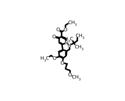 CCOC(=O)c1cn2c(cc1=O)-c1cc(OCC)c(OCCCOC)cc1CN2C(C)(C)CC